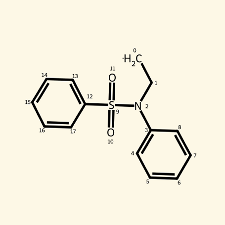 [CH2]CN(c1ccccc1)S(=O)(=O)c1ccccc1